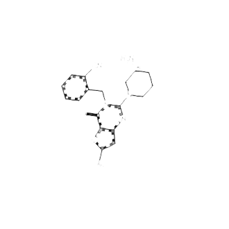 CC(=O)c1cc2nc(N3CCC[C@@H](N)C3)n(Cc3ccccc3C#N)c(=O)c2s1